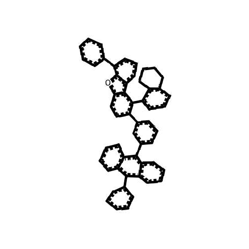 c1ccc(-c2c3ccccc3c(-c3cccc(-c4ccc5oc6c(-c7ccccc7)cccc6c5c4-c4cccc5c4CCCC5)c3)c3ccccc23)cc1